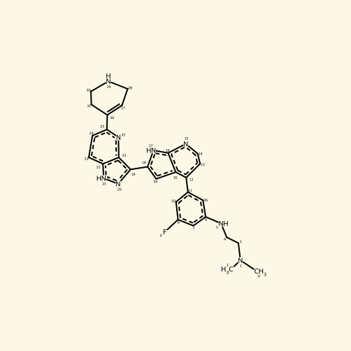 CN(C)CCNc1cc(F)cc(-c2ccnc3[nH]c(-c4n[nH]c5ccc(C6=CCNCC6)nc45)cc23)c1